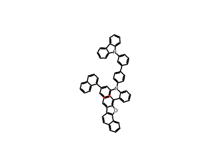 c1cc(-c2cccc3ccccc23)cc(N(c2ccc(-c3cccc(-n4c5ccccc5c5ccccc54)c3)cc2)c2ccccc2-c2cccc3c2oc2c4ccccc4ccc32)c1